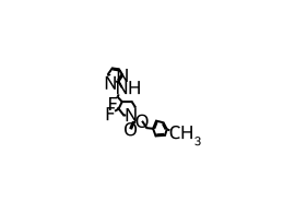 Cc1ccc(COC(=O)N2CCC(CNc3ncccn3)C(F)(F)C2)cc1